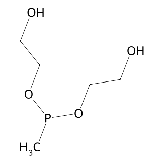 CP(OCCO)OCCO